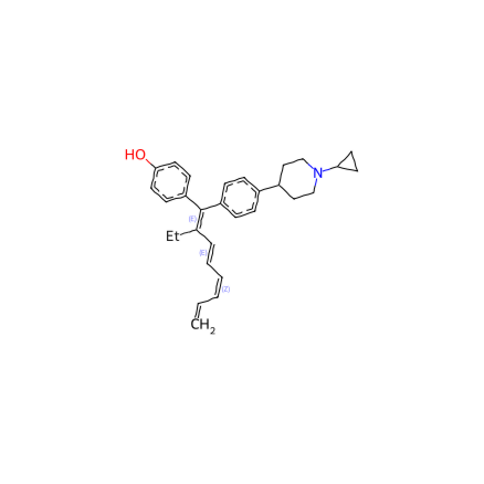 C=C\C=C/C=C/C(CC)=C(/c1ccc(O)cc1)c1ccc(C2CCN(C3CC3)CC2)cc1